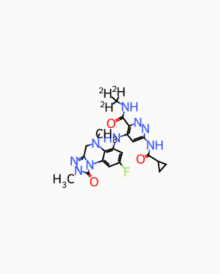 [2H]C([2H])([2H])NC(=O)c1nnc(NC(=O)C2CC2)cc1Nc1cc(F)cc2c1N(C)Cc1nn(C)c(=O)n1-2